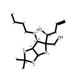 C=CC[C@H](O)C1(CO)OC2OC(C)(C)OC2[C@H]1OCCCC